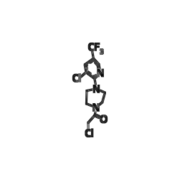 O=C(CCl)N1CCN(c2ncc(C(F)(F)F)cc2Cl)CC1